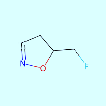 FCC1C[C]=NO1